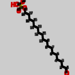 O=CCCCCCCCCCCCCCCCCCOS(=O)(=O)O